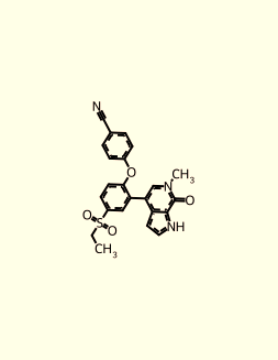 CCS(=O)(=O)c1ccc(Oc2ccc(C#N)cc2)c(-c2cn(C)c(=O)c3[nH]ccc23)c1